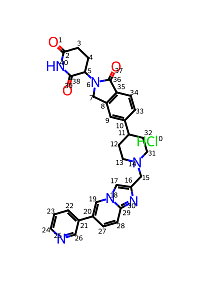 Cl.O=C1CCC(N2Cc3cc(C4CCN(Cc5cn6cc(-c7cccnc7)ccc6n5)CC4)ccc3C2=O)C(=O)N1